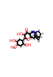 O=c1c(O)c(-c2cc(O)c(O)cc2O)oc2cc(C34CCNC5C3C54)ccc12